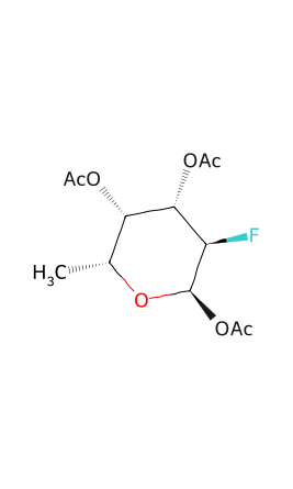 CC(=O)O[C@H]1O[C@H](C)[C@H](OC(C)=O)[C@H](OC(C)=O)[C@H]1F